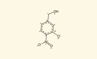 O=[N+]([O-])c1ccc(CO)cc1Cl